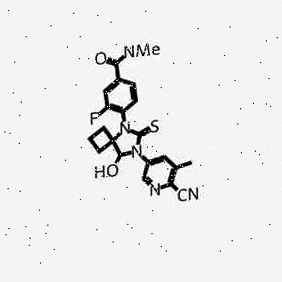 CNC(=O)c1ccc(N2C(=S)N(c3cnc(C#N)c(C)c3)C(O)C23CCC3)c(F)c1